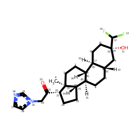 C[C@]12CC[C@H]3[C@@H](CC[C@H]4C[C@](O)(C(F)F)CC[C@@H]43)[C@@H]1CC[C@@H]2C(=O)Cn1ccnc1